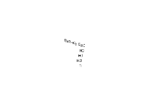 Cl.Cl.Cl.Cl.Cl.Cl.Cl.[Ti].[Ti]